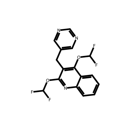 FC(F)Oc1nc2ccccc2c(OC(F)F)c1Cc1cncnc1